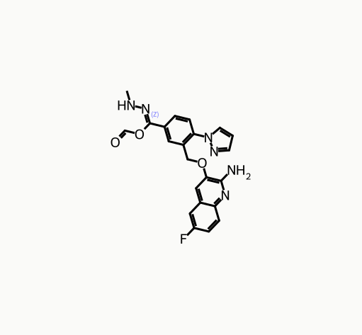 CN/N=C(\OC=O)c1ccc(-n2cccn2)c(COc2cc3cc(F)ccc3nc2N)c1